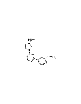 CNC1CCN(c2ccnc(-c3ccnc(CN)c3)n2)C1